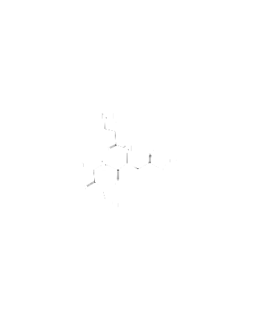 CC(C)[C@H](NC(=O)[C@H](CC(=O)OC(C)(C)C)NC(=O)CCN)C(=O)OC(C)(C)C